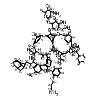 CC[C@@H](CC(C)C)C(=O)N[C@H]1C(=O)C[C@@H](CC(=O)NSc2ccc(OCCCN)cc2)C(=O)N[C@H]2C(=O)C[C@@H]3C(=O)N[C@@H](C(=O)N[C@H](C(=O)CC4C5CC6CC(C5)CC4C6)c4cc(O)cc(O)c4-c4cc3ccc4O)[C@@H](O)c3ccc(c(Cl)c3)Oc3cc2cc(c3O[C@@H]2O[C@H](CO)[C@H](O)[C@H](O)[C@@H]2O[C@H]2C[C@](C)(N)[C@H](O)[C@H](C)O2)Oc2ccc(cc2Cl)[C@H]1O